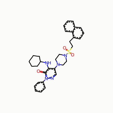 O=c1c(NC2CCCCC2)c(N2CCN(S(=O)(=O)CCc3cccc4ccccc34)CC2)cnn1-c1ccccc1